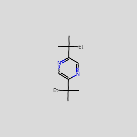 CCC(C)(C)c1cnc(C(C)(C)CC)cn1